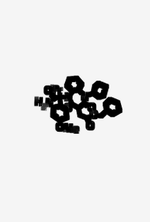 COc1ccc(C(C(N)=O)(C(C)C)N2C(=O)C(CC(=O)OCc3ccccc3)C(=O)N(c3ccccc3)c3ccccc32)cc1